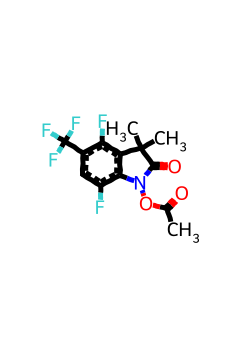 CC(=O)ON1C(=O)C(C)(C)c2c(F)c(C(F)(F)F)cc(F)c21